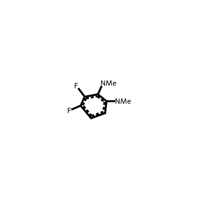 CNc1ccc(F)c(F)c1NC